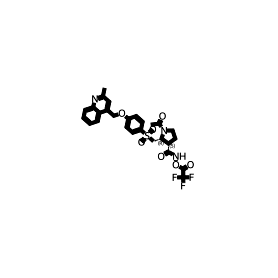 CC(=O)N1CC[C@H](C(=O)NOC(=O)C(F)(F)F)[C@@H]1CS(=O)(=O)c1ccc(OCc2cc(C)nc3ccccc23)cc1